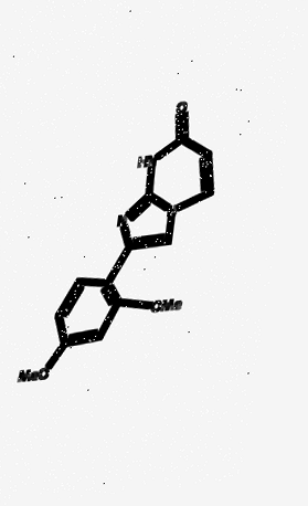 COc1ccc(-c2cn3ccc(=O)[nH]c3n2)c(OC)c1